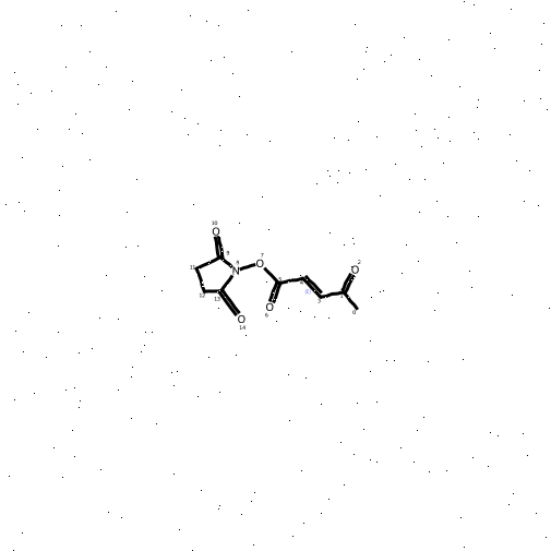 CC(=O)/C=C/C(=O)ON1C(=O)CCC1=O